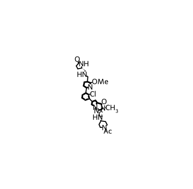 COc1nc(-c2cccc(-c3cc4c(=O)n(C)c(CNC5CCN(C(C)=O)CC5)nn4c3)c2Cl)ccc1CNC[C@@H]1CCC(=O)N1